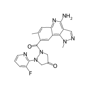 Cc1cc2nc(N)c3cnn(C)c3c2cc1C(=O)N1CC(=O)CN1c1ncccc1F